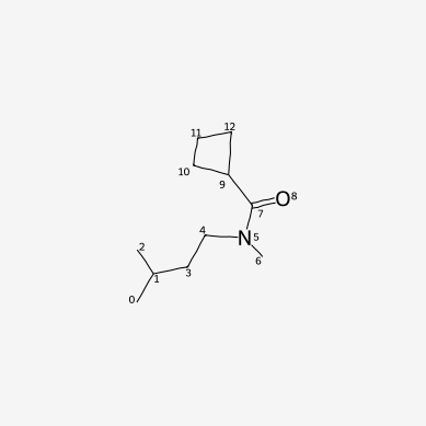 CC(C)CCN(C)C(=O)C1CCC1